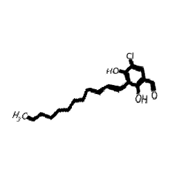 CCCCCCCCCC/C=C/c1c(O)c(Cl)cc(C=O)c1O